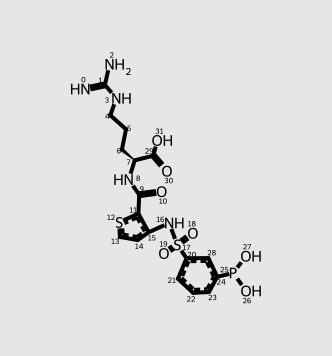 N=C(N)NCCC[C@H](NC(=O)c1sccc1NS(=O)(=O)c1cccc(P(O)O)c1)C(=O)O